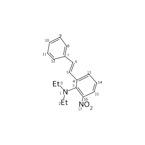 CCN(CC)c1c(C=Cc2ccccc2)cccc1[N+](=O)[O-]